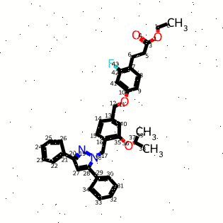 CCOC(=O)CCc1ccc(OCc2ccc(Cn3nc(-c4ccccc4)cc3-c3ccccc3)c(OC(C)C)c2)cc1F